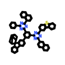 c1ccc(-c2nc(-c3cc(-c4ccc5c(c4)C4(c6ccccc6-5)C5CC6CC(C5)CC4C6)cc(-c4nc(-c5ccc6ccccc6c5)nc(-c5ccc6sc7ccccc7c6c5)n4)c3)nc(-c3cccc4ccccc34)n2)cc1